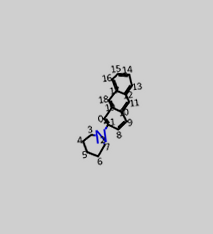 [c]1c(N2CCCCC2)ccc2cc3ccccc3cc12